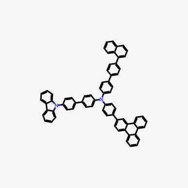 c1ccc2c(-c3ccc(-c4ccc(N(c5ccc(-c6ccc(-n7c8ccccc8c8ccccc87)cc6)cc5)c5ccc(-c6ccc7c8ccccc8c8ccccc8c7c6)cc5)cc4)cc3)cccc2c1